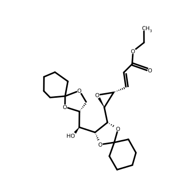 CCOC(=O)/C=C/[C@H]1O[C@@H]1[C@@H]1OC2(CCCCC2)O[C@@H]1[C@@H](O)[C@H]1COC2(CCCCC2)O1